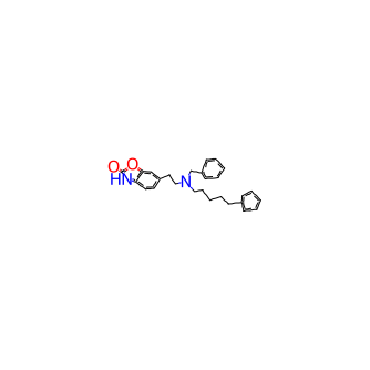 O=c1[nH]c2ccc(CCN(CCCCCc3ccccc3)Cc3ccccc3)cc2o1